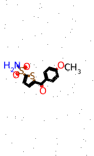 COc1ccc(C(=O)c2ccc(S(N)(=O)=O)s2)cc1